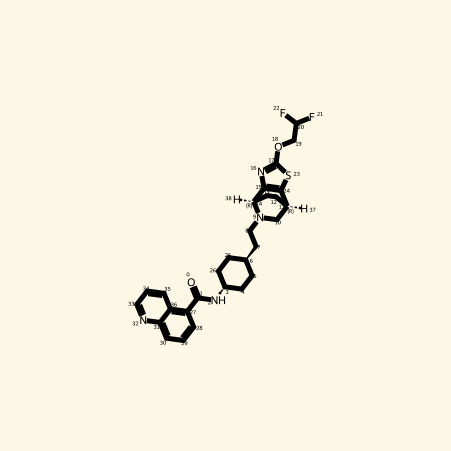 O=C(N[C@H]1CC[C@H](CCN2C[C@H]3CC[C@@H]2c2nc(OCC(F)F)sc23)CC1)c1cccc2ncccc12